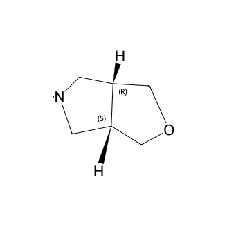 C1[N]C[C@H]2COC[C@@H]12